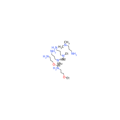 CC(C)OCCCN.CCCCN(CCCC)CCCN.CCN(CC)CCCN.CCOCCCN.CN(C)CCCN